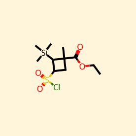 CCOC(=O)C1(C)CC(S(=O)(=O)Cl)C1[Si](C)(C)C